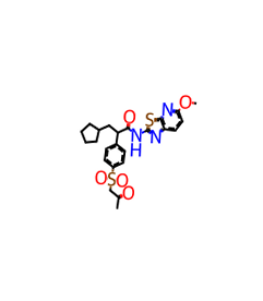 COc1ccc2nc(NC(=O)C(CC3CCCC3)c3ccc(S(=O)(=O)CC(C)=O)cc3)sc2n1